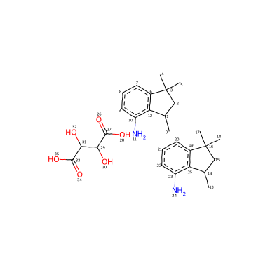 CC1CC(C)(C)c2cccc(N)c21.CC1CC(C)(C)c2cccc(N)c21.O=C(O)C(O)C(O)C(=O)O